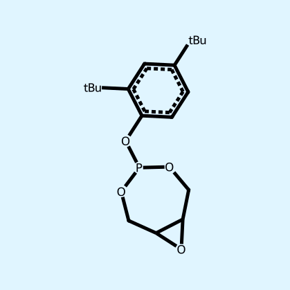 CC(C)(C)c1ccc(OP2OCC3OC3CO2)c(C(C)(C)C)c1